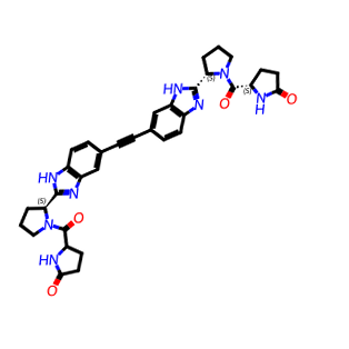 O=C1CCC(C(=O)N2CCC[C@H]2c2nc3cc(C#Cc4ccc5nc([C@@H]6CCCN6C(=O)[C@@H]6CCC(=O)N6)[nH]c5c4)ccc3[nH]2)N1